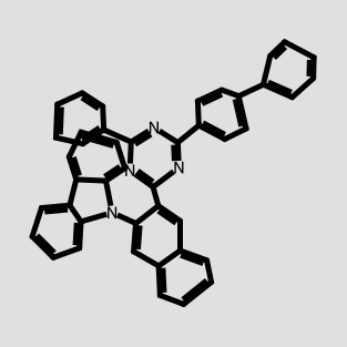 c1ccc(-c2ccc(-c3nc(-c4ccccc4)nc(-c4cc5ccccc5cc4-n4c5ccccc5c5ccccc54)n3)cc2)cc1